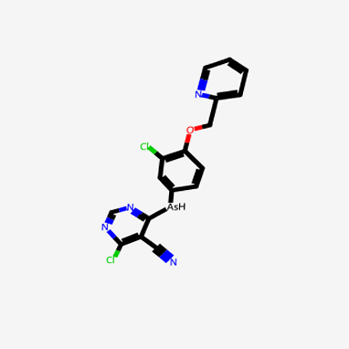 N#Cc1c(Cl)ncnc1[AsH]c1ccc(OCc2ccccn2)c(Cl)c1